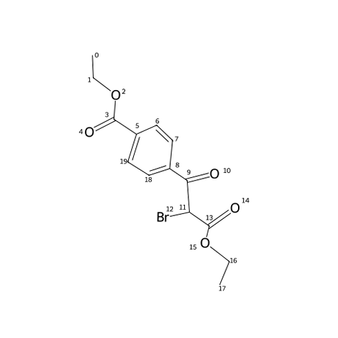 CCOC(=O)c1ccc(C(=O)C(Br)C(=O)OCC)cc1